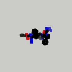 CC(C)(C)OC(=O)NC(=N)c1ccc(CNC(=O)[C@]2(CC(=O)O)C(C3CCCCC3)CCN2C(=O)CN)c2ccccc12